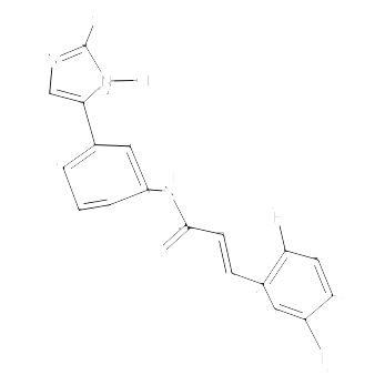 Cc1ncc(-c2cccc(NC(=O)C=Cc3cc(F)ccc3F)c2)n1C